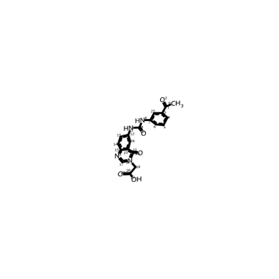 CC(=O)c1cccc(NC(=O)Nc2ccc3ncn(CC(=O)O)c(=O)c3c2)c1